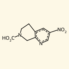 O=C(O)N1CCc2cc([N+](=O)[O-])cnc2C1